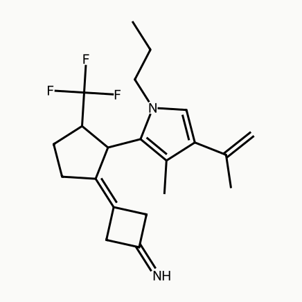 C=C(C)c1cn(CCC)c(C2C(=C3CC(=N)C3)CCC2C(F)(F)F)c1C